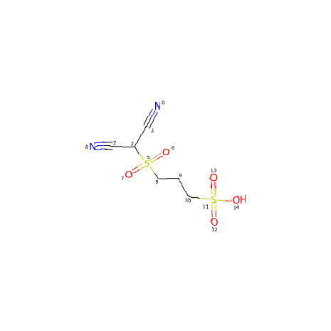 N#CC(C#N)S(=O)(=O)CCCS(=O)(=O)O